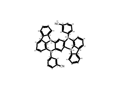 N#Cc1cccc(B2c3cc4c(cc3-n3c5ccccc5c5cccc2c53)B(c2cccc(C#N)c2)c2cccc3c5ccccc5n-4c23)c1